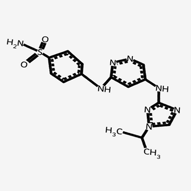 CC(C)n1cnc(Nc2cnnc(Nc3ccc(S(N)(=O)=O)cc3)c2)n1